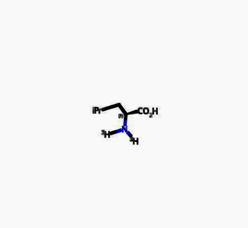 [3H]N([3H])[C@@H](CC(C)C)C(=O)O